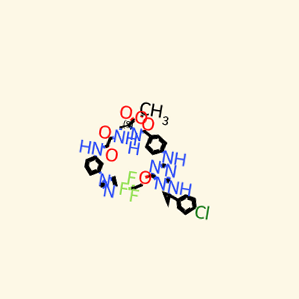 COC(=O)[C@H](CNC(=O)C(=O)Nc1cccc(-n2ccnc2)c1)NC(=O)c1ccc(Nc2nc(NC3(c4ccc(Cl)cc4)CC3)nc(OCC(F)(F)F)n2)cc1